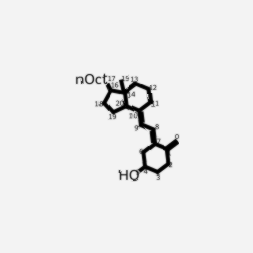 C=C1CCC(O)C/C1=C\C=C1/CCCC2(C)C(CCCCCCCC)CCC12